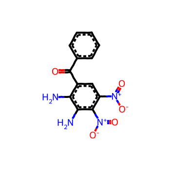 Nc1c(C(=O)c2ccccc2)cc([N+](=O)[O-])c([N+](=O)[O-])c1N